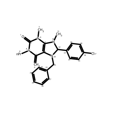 C=C1C2=C(N(C)C(=O)N1CCC)N(C)C(c1ccc(Cl)cc1)N2Cc1ccccc1